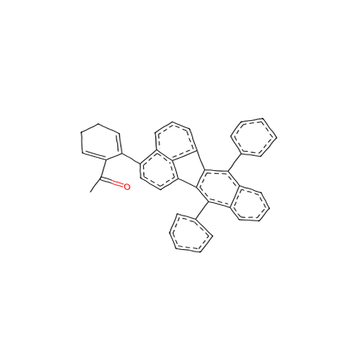 CC(=O)C1=CCCC=C1c1ccc2c3c(cccc13)-c1c-2c(-c2ccccc2)c2ccccc2c1-c1ccccc1